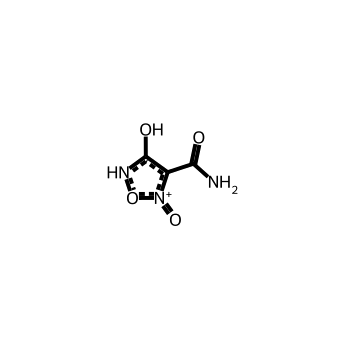 NC(=O)c1c(O)[nH]o[n+]1=O